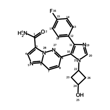 NC(=O)c1cnc2ccc(-c3c(-c4ccc(F)cc4)ncn3C3CC(O)C3)nn12